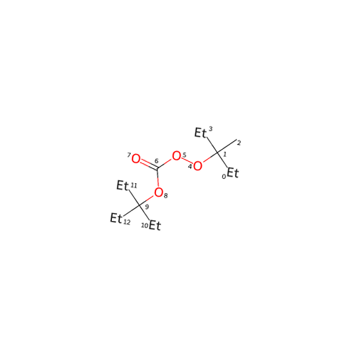 CCC(C)(CC)OOC(=O)OC(CC)(CC)CC